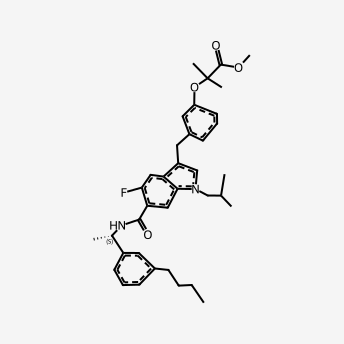 CCCCc1cccc([C@H](C)NC(=O)c2cc3c(cc2F)c(Cc2cccc(OC(C)(C)C(=O)OC)c2)cn3CC(C)C)c1